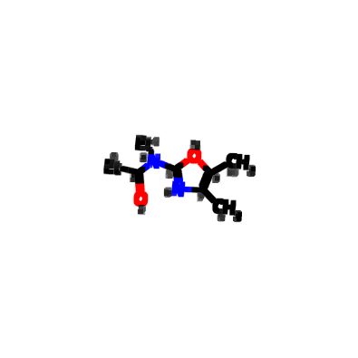 CCC(=O)N(CC)c1nc(C)c(C)o1